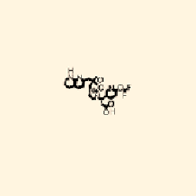 O=C(O)C[C@@H](c1ccc(OC(F)F)nc1)N1CCN(CC2(Cc3ccc4c(n3)NCCC4)COC2)C1=O